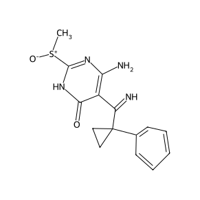 C[S+]([O-])c1nc(N)c(C(=N)C2(c3ccccc3)CC2)c(=O)[nH]1